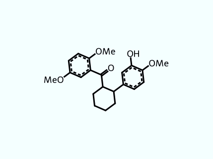 COc1ccc(OC)c(C(=O)C2CCCCC2c2ccc(OC)c(O)c2)c1